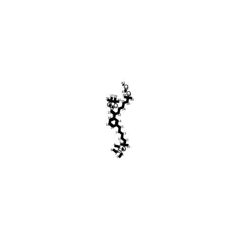 CC[Si](CC)(CC)OC(C)(C)CCCCCc1cccc(/C(=C/B2OC(C)(C)C(C)(C)O2)CCCCCC(C)(C)OCOC)c1